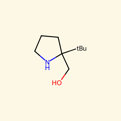 CC(C)(C)C1(CO)CCCN1